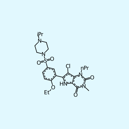 CCCn1c(=O)n(C)c(=O)c2[nH]c(-c3cc(S(=O)(=O)N4CCN(C(C)C)CC4)ccc3OCC)c(Cl)c21